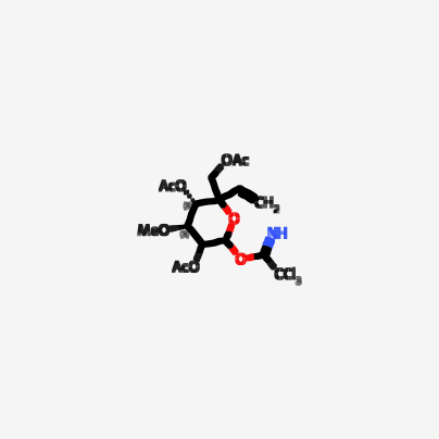 C=CC1(COC(C)=O)OC(OC(=N)C(Cl)(Cl)Cl)C(OC(C)=O)[C@@H](OC)[C@@H]1OC(C)=O